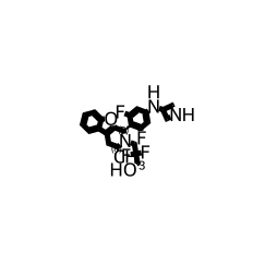 C[C@@H]1Cc2c(oc3ccccc23)[C@@H](c2c(F)cc(NC3CNC3)cc2F)N1CC(F)(F)CO